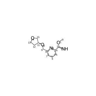 COC(=N)c1cccc(CO[C@H]2CCOC2)n1